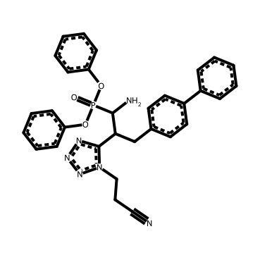 N#CCCn1nnnc1C(Cc1ccc(-c2ccccc2)cc1)C(N)P(=O)(Oc1ccccc1)Oc1ccccc1